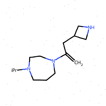 C=C(CC1CNC1)N1CCCN(C(C)C)CC1